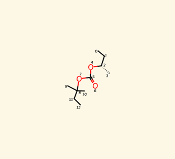 CC[C@H](C)OC(=O)OC(C)(C)CC